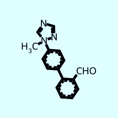 C[N+]1(c2ccc(-c3ccccc3C=O)cc2)C=NC=N1